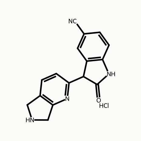 Cl.N#Cc1ccc2c(c1)C(c1ccc3c(n1)CNC3)C(=O)N2